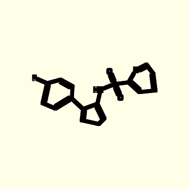 O=S(=O)(NC1=CCC=C1c1ccc(F)cc1)c1ccccn1